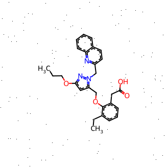 CCCOc1cc(COc2c(CC)cccc2CC(=O)O)n(Cc2ccc3ccccc3n2)n1